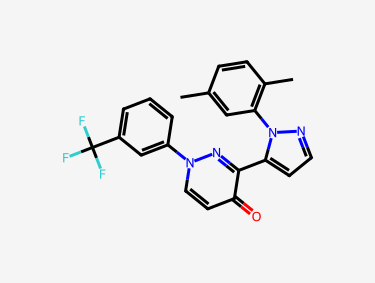 Cc1ccc(C)c(-n2nccc2-c2nn(-c3cccc(C(F)(F)F)c3)ccc2=O)c1